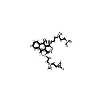 CC(=O)N(CCNc1nnc(NCCN(CCN(C)C)C(C)=O)c2c1C(=O)c1ccccc1C2=O)CCN(C)C